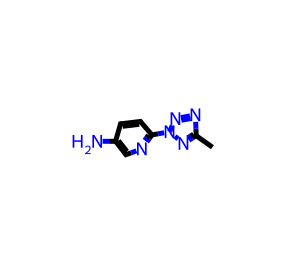 Cc1nnn(-c2ccc(N)cn2)n1